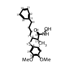 COc1ccc(S[C@H](CCCCc2ccccc2)[C@@H](C)C(=O)NO)cc1OC